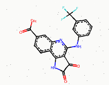 O=C1Nc2c(c(Nc3cccc(C(F)(F)F)c3)nc3cc(C(=O)O)ccc23)C1=O